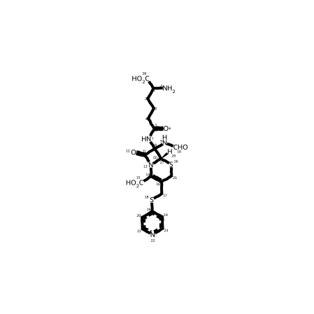 NC(CCCC(=O)NC1(NC=O)C(=O)N2C(C(=O)O)=C(CSc3ccncc3)CS[C@H]21)C(=O)O